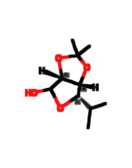 CC(C)[C@@H]1OC(O)[C@@H]2OC(C)(C)O[C@H]12